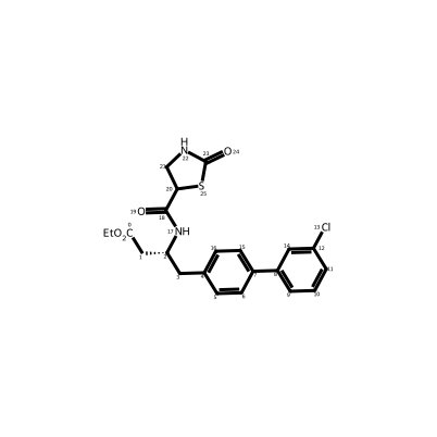 CCOC(=O)C[C@@H](Cc1ccc(-c2cccc(Cl)c2)cc1)NC(=O)C1CNC(=O)S1